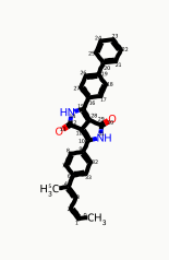 C/C=C\C=C(/C)c1ccc(C2=C3C(=O)NC(c4ccc(-c5ccccc5)cc4)=C3C(=O)N2)cc1